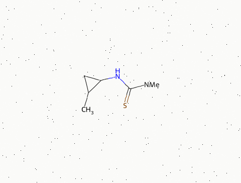 CNC(=S)NC1CC1C